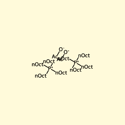 CC(=O)[O-].CC(=O)[O-].CCCCCCCC[P+](CCCCCCCC)(CCCCCCCC)CCCCCCCC.CCCCCCCC[P+](CCCCCCCC)(CCCCCCCC)CCCCCCCC